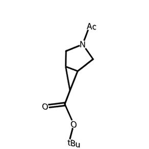 CC(=O)N1CC2C(C1)C2C(=O)OC(C)(C)C